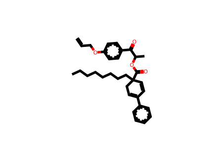 C=CCOc1ccc(C(=O)C(C)OC(=O)C2(CCCCCCCC)C=CC(c3ccccc3)=CC2)cc1